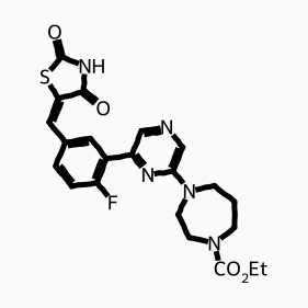 CCOC(=O)N1CCCN(c2cncc(-c3cc(C=C4SC(=O)NC4=O)ccc3F)n2)CC1